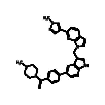 CN1CCN(C(=O)c2ccc(-c3cnc4[nH]cc(Cn5ccc6ccc(-c7cnn(C)c7)nc65)c4c3)cc2)CC1